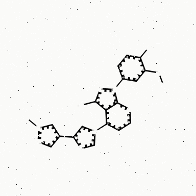 CCNc1cc(-n2nc(C(C)C)c3c(-n4cnc(-c5cnn(C)c5)c4)ccnc32)ccc1C#N